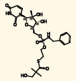 CC(C)(CO)C(=O)SCCOP(=O)(NCc1ccccc1)OC[C@H]1O[C@@H](n2ccc(=O)[nH]c2=O)[C@](C)(O)[C@@H]1O